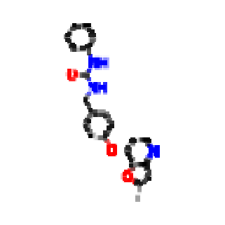 Cc1cc2nccc(Oc3ccc(CNC(=O)Nc4ccccc4)cc3)c2o1